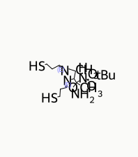 CC(C/N=C/CCS)C(/N=C/CCS)C(C)(NC(=O)OC(C)(C)C)ON